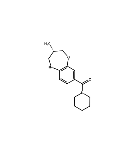 C[C@H]1CNc2ccc(C(=O)N3CCCCC3)cc2OC1